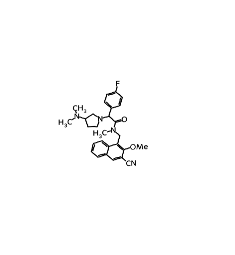 COc1c(C#N)cc2ccccc2c1CN(C)C(=O)C(c1ccc(F)cc1)N1CCC(N(C)C)C1